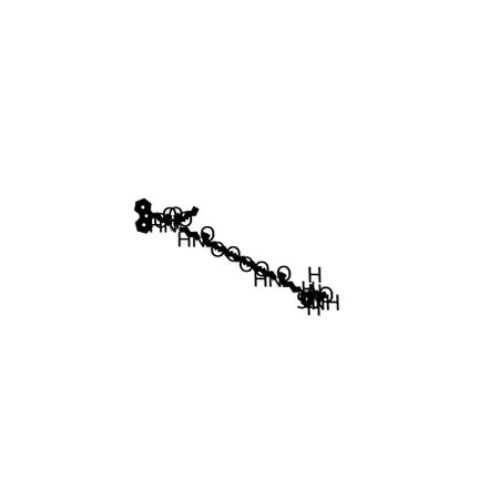 C=CCOC(=O)[C@H](CCCCNC(=O)CCOCCOCCOCCOCCNC(=O)CCCC[C@@H]1SC[C@@H]2NC(=O)N[C@@H]21)NC(=O)OCC1c2ccccc2-c2ccccc21